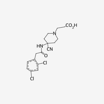 N#CC1(NC(=O)Cc2ccc(Cl)cc2Cl)CCN(CCC(=O)O)CC1